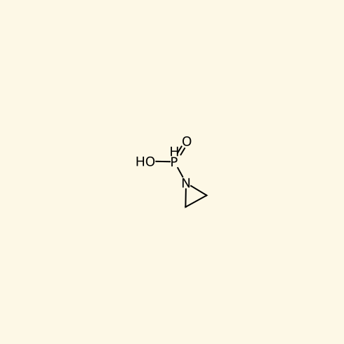 O=[PH](O)N1CC1